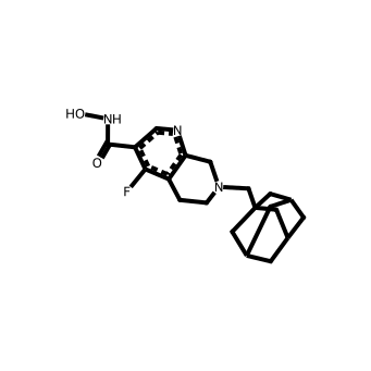 O=C(NO)c1cnc2c(c1F)CCN(CC13CC4CC(CC(C4)C1)C3)C2